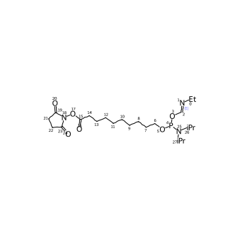 CC/N=C/OP(OCCCCCCCCCC(=O)ON1C(=O)CCC1=O)N(C(C)C)C(C)C